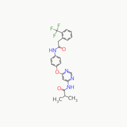 CC(C)C(=O)Nc1cc(Oc2ccc(NC(=O)Cc3ccccc3C(F)(F)F)cc2)ncn1